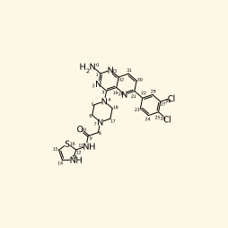 Nc1nc(N2CCN(CC(=O)NC3NC=CS3)CC2)c2nc(-c3ccc(Cl)c(Cl)c3)ccc2n1